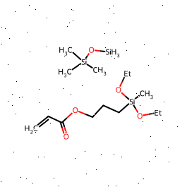 C=CC(=O)OCCC[Si](C)(OCC)OCC.C[Si](C)(C)O[SiH3]